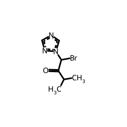 CC(C)C(=O)C(Br)n1cncn1